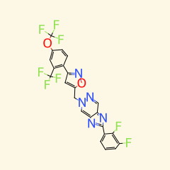 Fc1cccc(-c2nc3cnn(Cc4cc(-c5ccc(OC(F)(F)F)cc5C(F)(F)F)no4)cc-3n2)c1F